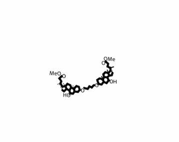 COC(=O)CC[C@@H](C)[C@H]1CCC2C3C(CC[C@@]21C)[C@@]1(C)CC[C@@H](OCCCCCO[C@H]2CC[C@@]4(C)C(C2)C[C@H](O)C2C4CC[C@@]4(C)C2CC[C@@H]4[C@H](C)CCC(=O)OC)CC1C[C@H]3O